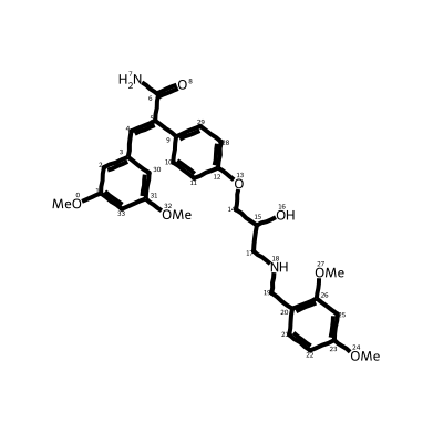 COc1cc(/C=C(/C(N)=O)c2ccc(OCC(O)CNCc3ccc(OC)cc3OC)cc2)cc(OC)c1